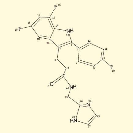 O=C(CCc1c(-c2ccc(F)cc2)[nH]c2c(F)cc(F)cc12)NCc1ncc[nH]1